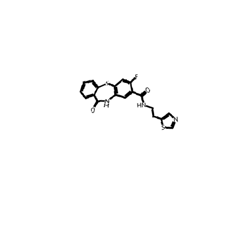 O=C(NCCc1cncs1)c1cc2c(cc1F)Sc1ccccc1C(=O)N2